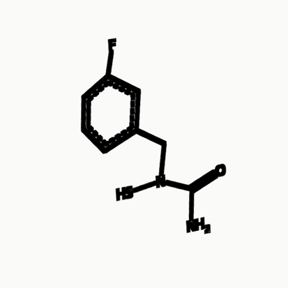 NC(=O)N(S)Cc1cccc(F)c1